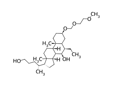 CC[C@@H]1C2C[C@H](OCOCCOC)CC[C@@]2(C)[C@H]2CCC3(C)[C@@H]([C@H](C)CCCO)CC[C@H]3C2[C@@H]1O